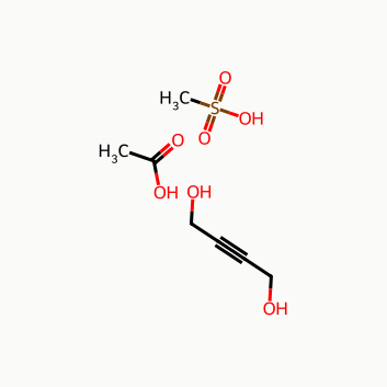 CC(=O)O.CS(=O)(=O)O.OCC#CCO